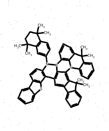 CC1(C)CCC(C)(C)c2cc(N3B4c5cccc6c5N(c5ccccc5C6(C)C)c5c4c(cc4c5C(C)(C)c5ccccc5-4)-c4c3ccc3c4sc4ccccc43)ccc21